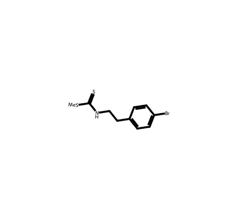 CSC(=S)NCCc1ccc(Br)cc1